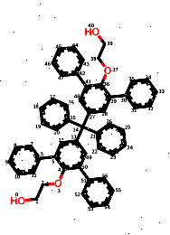 OCCOc1c(-c2ccccc2)cc(C(c2ccccc2)(c2ccccc2)c2cc(-c3ccccc3)c(OCCO)c(-c3ccccc3)c2)cc1-c1ccccc1